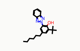 CCCCCCc1cc(-n2nc3ccccc3n2)c(O)c(C(C)(C)C)c1